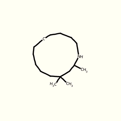 CC1CC(C)(C)CCCCCCCCCCN1